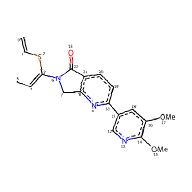 C=CS/C(=C\C)N1Cc2nc(-c3cnc(OC)c(OC)c3)ccc2C1=O